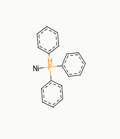 [Ni][PH](c1ccccc1)(c1ccccc1)c1ccccc1